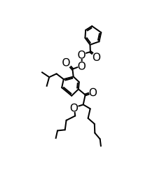 CCCCCCC(OCCCCC)C(=O)c1ccc(CC(C)C)c(C(=O)OOC(=O)c2ccccc2)c1